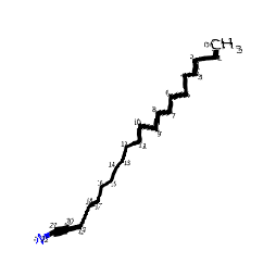 CCCCCCCCCCCCCCCCCCCCC#C[N]